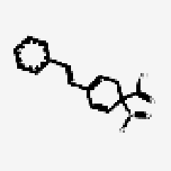 O=C(O)C1([N+](=O)[O-])C=CC(C=Cc2ccccc2)=CC1